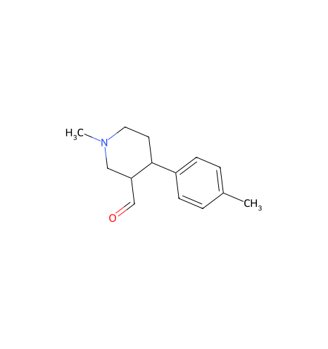 Cc1ccc(C2CCN(C)CC2C=O)cc1